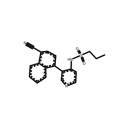 CCCS(=O)(=O)Nc1ccncc1-c1ccc(C#N)c2ccccc12